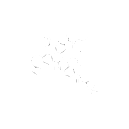 CCCNC(=O)c1ccc(-c2cc3c(cc2C(=O)Nc2ccc(CNC(=O)OC(C)(C)C)cc2OCC(CC)CC)-c2sccc2CCO3)c(C(=O)OC)n1